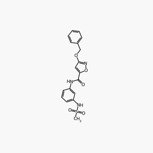 CS(=O)(=O)Nc1cccc(NC(=O)c2cc(OCc3ccccc3)no2)c1